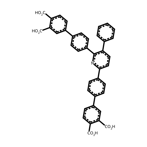 O=C(O)c1ccc(-c2ccc(-c3ccc(-c4ccccc4)c(-c4ccc(-c5ccc(C(=O)O)c(C(=O)O)c5)cc4)n3)cc2)cc1C(=O)O